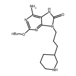 CCCCOc1nc(N)c2[nH]c(=O)n(CCCC3CCCNC3)c2n1